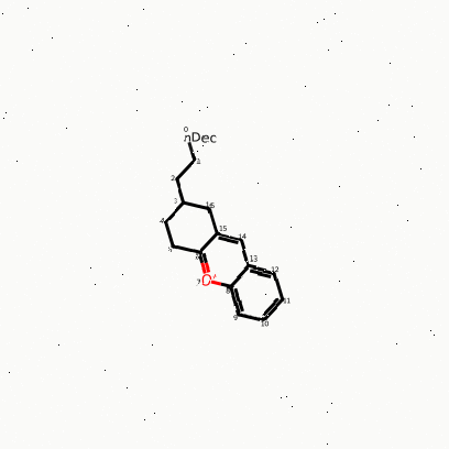 CCCCCCCCCCCCC1CCc2[o+]c3ccccc3cc2C1